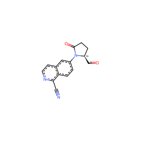 N#Cc1nccc2cc(N3C(=O)CC[C@H]3C=O)ccc12